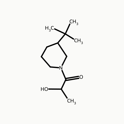 CC(O)C(=O)N1CCCC(C(C)(C)C)C1